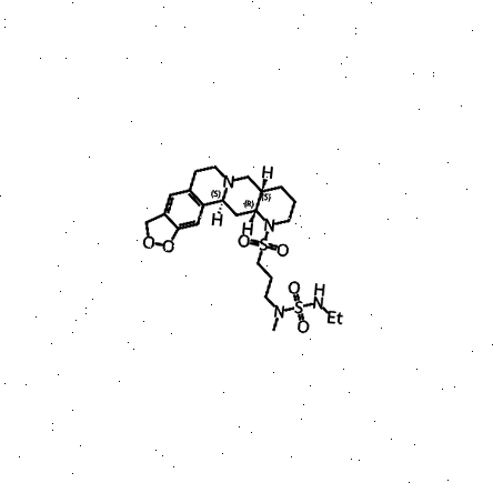 CCNS(=O)(=O)N(C)CCCS(=O)(=O)N1CCC[C@H]2CN3CCc4cc5c(cc4[C@@H]3C[C@H]21)OOC5